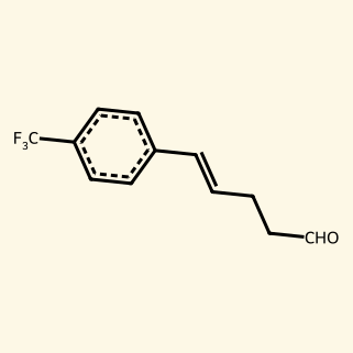 O=CCCC=Cc1ccc(C(F)(F)F)cc1